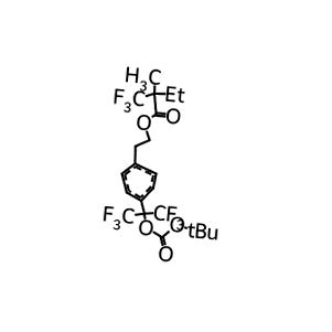 CCC(C)(C(=O)OCCc1ccc(C(OC(=O)OC(C)(C)C)(C(F)(F)F)C(F)(F)F)cc1)C(F)(F)F